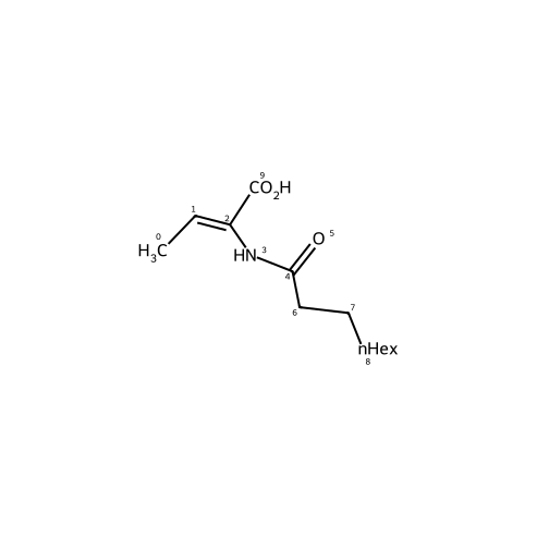 C/C=C(\NC(=O)CCCCCCCC)C(=O)O